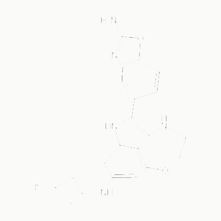 Nc1nc2cc(-c3[nH]c4cc(N[C@H]5C[C@@H](F)C5)cc5c4c3NCCO5)ccc2o1